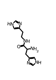 NC(Cc1c[nH]cn1)C(=O)NCCc1c[nH]cn1